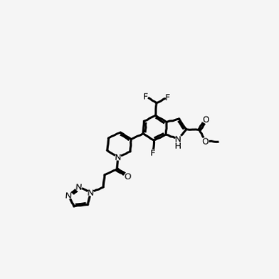 COC(=O)c1cc2c(C(F)F)cc(C3=CCCN(C(=O)CCn4ccnn4)C3)c(F)c2[nH]1